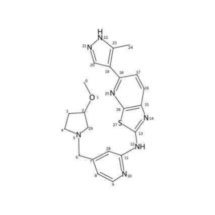 COC1CCN(Cc2ccnc(Nc3nc4ccc(-c5cn[nH]c5C)nc4s3)c2)C1